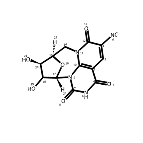 [C-]#[N+]c1cc2c(=O)[nH]c(=O)n3c2n(c1=O)C[C@H]1O[C@H]3C(O)[C@H]1O